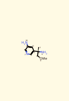 COC[C@@](C)(N)c1cncc(N)c1